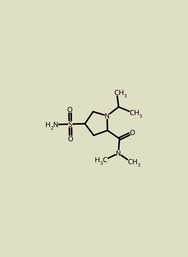 CC(C)N1CC(S(N)(=O)=O)CC1C(=O)N(C)C